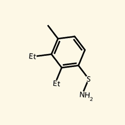 CCc1c(C)ccc(SN)c1CC